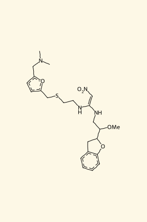 COC(CNC(=C[N+](=O)[O-])NCCSCc1ccc(CN(C)C)o1)C1Cc2ccccc2O1